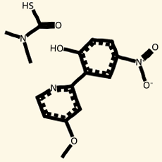 CN(C)C(=O)S.COc1ccnc(-c2cc([N+](=O)[O-])ccc2O)c1